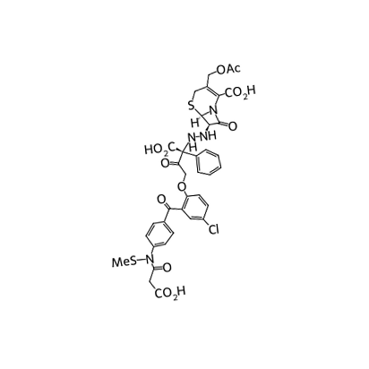 CSN(C(=O)CC(=O)O)c1ccc(C(=O)c2cc(Cl)ccc2OCC(=O)[C@@](NN[C@@H]2C(=O)N3C(C(=O)O)=C(COC(C)=O)CS[C@H]23)(C(=O)O)c2ccccc2)cc1